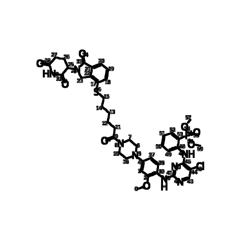 COc1cc(N2CCN(C(=O)CCCCCSc3cccc4c3CN(C3CCC(=O)NC3=O)C4=O)CC2)ccc1Nc1ncc(Cl)c(Nc2ccccc2P(=O)(OC)OC)n1